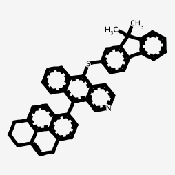 CC1(C)c2ccccc2-c2ccc(Sc3c4ccccc4c(-c4ccc5c6c7c(ccc46)CCCC7=CC5)c4cnccc34)cc21